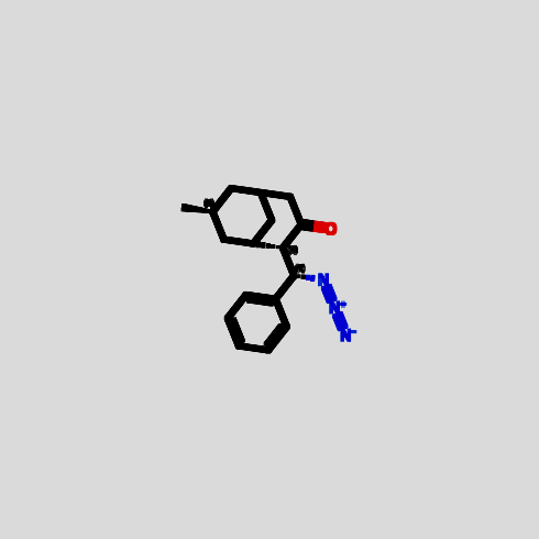 C[C@H]1CC2CC(=O)[C@H]([C@H](N=[N+]=[N-])c3ccccc3)C(C2)C1